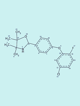 CC1(C)BC(c2ccc(Oc3cc(Cl)ccc3F)cc2)OC1(C)C